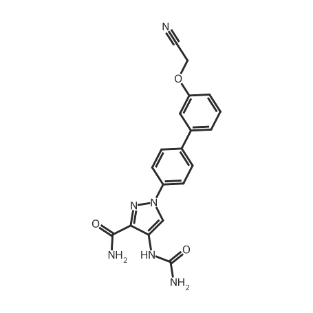 N#CCOc1cccc(-c2ccc(-n3cc(NC(N)=O)c(C(N)=O)n3)cc2)c1